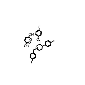 Fc1ccc(CN2CC[C@H](c3ccc(F)cc3)[C@@H](COc3ccc(F)cc3)C2)cc1.O=C(O)/C=C\C(=O)O